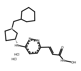 Cl.Cl.O=C(C=Cc1ccc(N[C@@H]2CCN(CC3CCCCC3)C2)nn1)NO